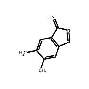 Cc1cc2c(cc1C)C(=N)N=C2